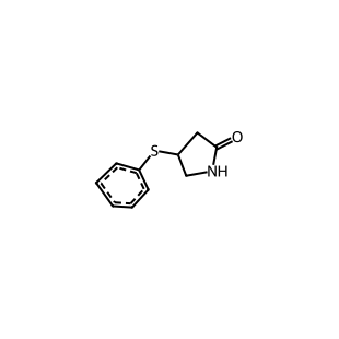 O=C1CC(Sc2ccccc2)CN1